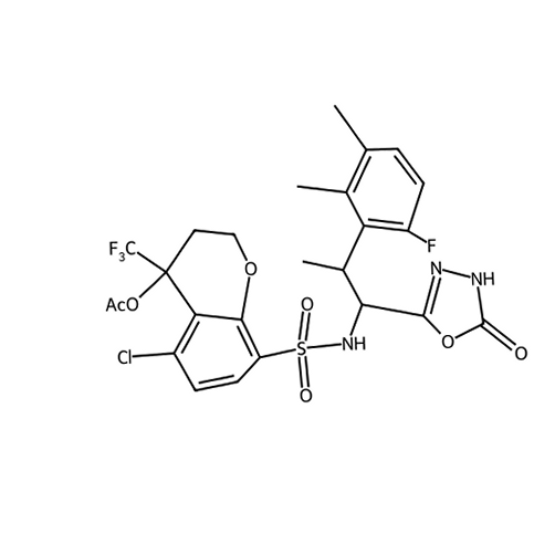 CC(=O)OC1(C(F)(F)F)CCOc2c(S(=O)(=O)NC(c3n[nH]c(=O)o3)C(C)c3c(F)ccc(C)c3C)ccc(Cl)c21